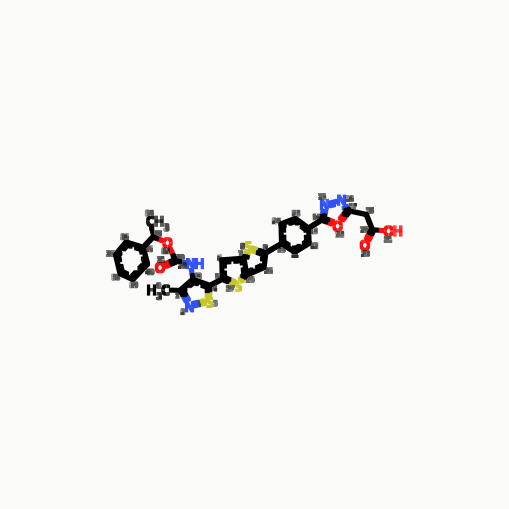 Cc1nsc(-c2cc3sc(-c4ccc(-c5nnc(CC(=O)O)o5)cc4)cc3s2)c1NC(=O)O[C@H](C)c1ccccc1